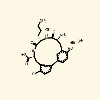 Br.Br.NC[C@H](O)C[C@@H]1NC(=O)[C@@H](N)Cc2cc(ccc2O)-c2ccc(Cl)c(c2)C[C@@H](C(=O)O)NC1=O